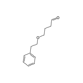 O=CCCCOCCc1ccccc1